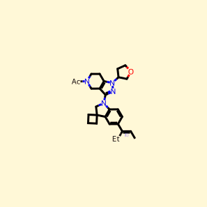 C/C=C(\CC)c1ccc2c(c1)C1(CCC1)CN2c1nn(C2CCOC2)c2c1CN(C(C)=O)CC2